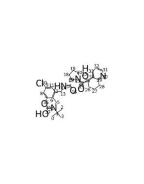 CC(C)(C)N(Cc1ccc(Cl)cc1CNC(=O)[C@@H]1CCCN1C(=O)C1(O)CCCc2ncccc21)C(=O)O